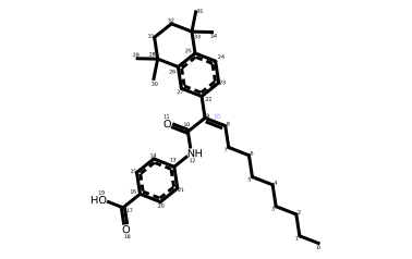 CCCCCCCC/C=C(\C(=O)Nc1ccc(C(=O)O)cc1)c1ccc2c(c1)C(C)(C)CCC2(C)C